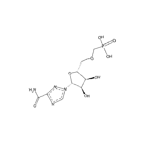 NC(=O)c1ncn([C@@H]2O[C@H](COCP(=O)(O)O)[C@@H](O)[C@H]2O)n1